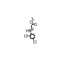 CCOC(=O)C=NNc1ccc(Cl)cc1Cl